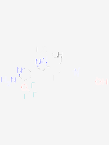 CC(C)n1nc(-c2cnc(N)c(OC(F)(F)F)c2)cc1[C@H]1[C@@H]2C[C@H](N3CCC(CO)CC3)C[C@@H]21